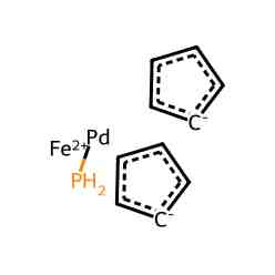 [Fe+2].[PH2][Pd].c1cc[cH-]c1.c1cc[cH-]c1